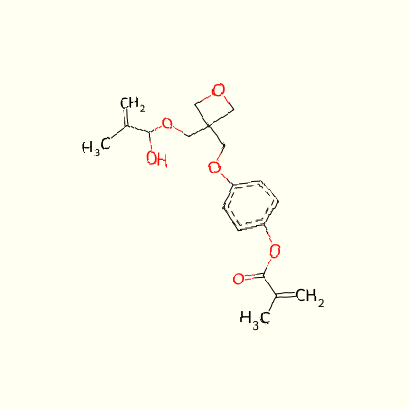 C=C(C)C(=O)Oc1ccc(OCC2(COC(O)C(=C)C)COC2)cc1